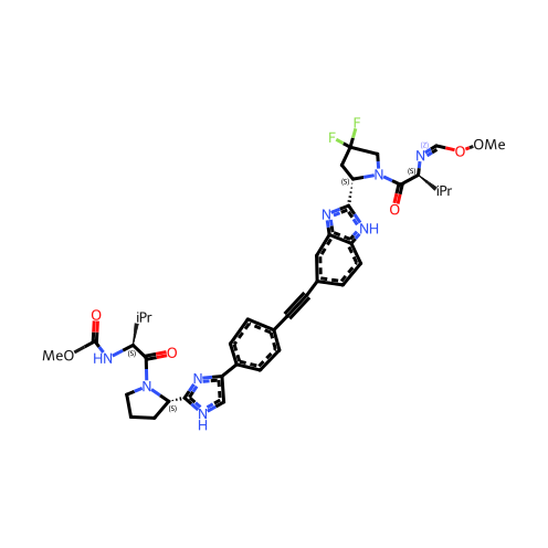 COO/C=N\[C@H](C(=O)N1CC(F)(F)C[C@H]1c1nc2cc(C#Cc3ccc(-c4c[nH]c([C@@H]5CCCN5C(=O)[C@@H](NC(=O)OC)C(C)C)n4)cc3)ccc2[nH]1)C(C)C